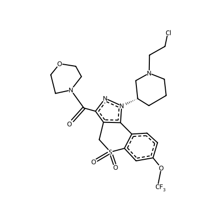 O=C(c1nn([C@H]2CCCN(CCCl)C2)c2c1CS(=O)(=O)c1cc(OC(F)(F)F)ccc1-2)N1CCOCC1